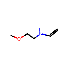 C=CNCCOC